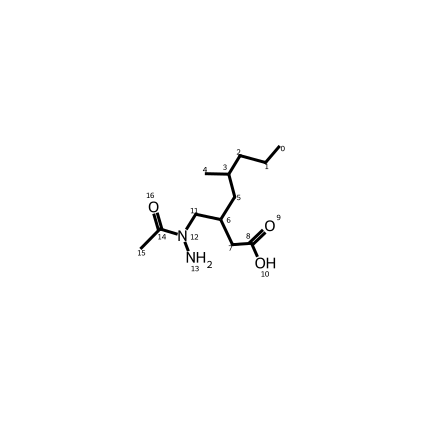 CCCC(C)CC(CC(=O)O)CN(N)C(C)=O